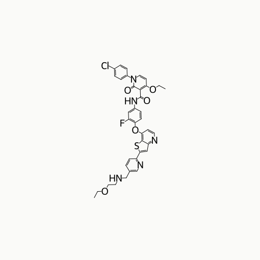 CCOCCNCc1ccc(-c2cc3nccc(Oc4ccc(NC(=O)c5c(OCC)ccn(-c6ccc(Cl)cc6)c5=O)cc4F)c3s2)nc1